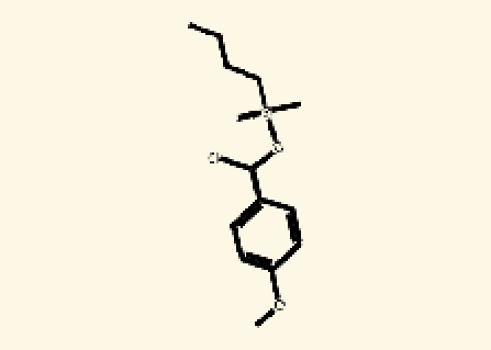 CCCC[Si](C)(C)OC(Cl)c1ccc(OC)cc1